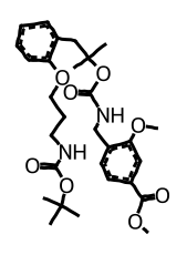 COC(=O)c1ccc(CNC(=O)OC(C)(C)Cc2ccccc2OCCCNC(=O)OC(C)(C)C)c(OC)c1